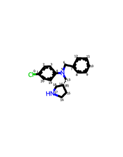 Clc1ccc(N(Cc2ccccc2)C[C@@H]2CCNC2)cc1